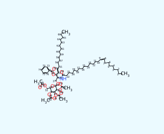 CCCCCCCC/C=C\CCCCCCCCCCCCCC(=O)N[C@@H](CO[C@@H]1O[C@H](COC(C)=O)[C@H](OC(C)=O)[C@H](OC(C)=O)[C@H]1OC(C)=O)[C@@H](/C=C/CCCCCCCCCCCCC)OC(=O)c1ccccc1